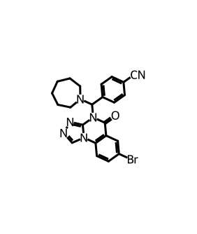 N#Cc1ccc(C(N2CCCCCC2)n2c(=O)c3cc(Br)ccc3n3cnnc23)cc1